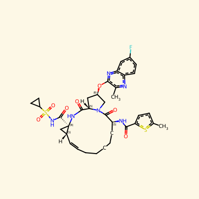 Cc1ccc(C(=O)N[C@H]2CCCCCC=C[C@@H]3C[C@@]3(C(=O)NS(=O)(=O)C3CC3)NC(=O)[C@@H]3C[C@@H](Oc4nc5cc(F)ccc5nc4C)CN3C2=O)s1